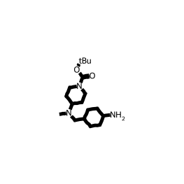 CN(CC1CCC(N)CC1)C1CCN(C(=O)OC(C)(C)C)CC1